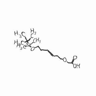 CC(C)(C)[Si](C)(C)OCCC=CCCOCC(=O)O